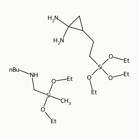 CCCCNC[Si](C)(OCC)OCC.CCO[Si](CCC1CC1(N)N)(OCC)OCC